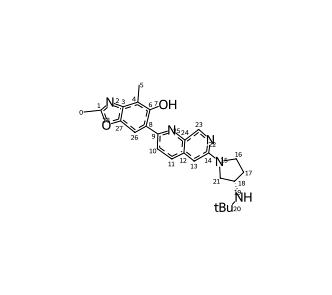 Cc1nc2c(C)c(O)c(-c3ccc4cc(N5CC[C@H](NC(C)(C)C)C5)ncc4n3)cc2o1